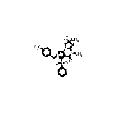 CN1C(=O)c2c(cn(Cc3ccc(C(F)(F)F)cc3)c2S(=O)(=O)c2ccccc2)N2CC(C)(C)N=C12